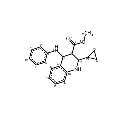 COC(=O)C1C(Nc2ccccc2)c2ccccc2NC1C1CC1